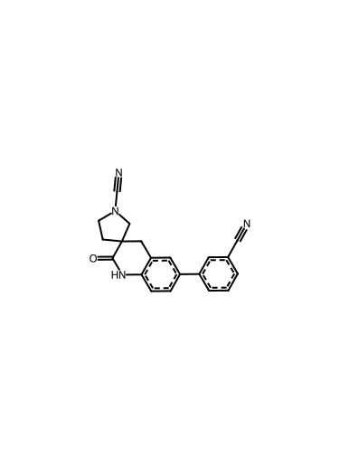 N#Cc1cccc(-c2ccc3c(c2)CC2(CCN(C#N)C2)C(=O)N3)c1